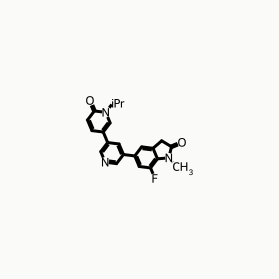 CC(C)n1cc(-c2cncc(-c3cc(F)c4c(c3)CC(=O)N4C)c2)ccc1=O